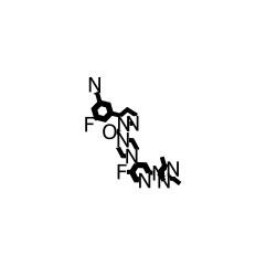 Cc1nc(C)n(-c2cc(N3CCN(C(=O)N4N=CCC4c4cc(F)cc(C#N)c4)CC3)c(F)cn2)n1